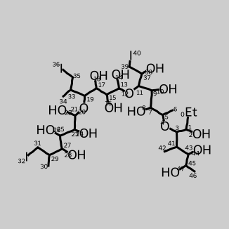 CCC(O)C(OC(C)C(O)C(O)C(OC(O)C(O)C(O)C(OC(O)C(O)C(O)C(O)C(C)CI)C(C)CI)C(O)CI)C(C)C(O)C(C)O